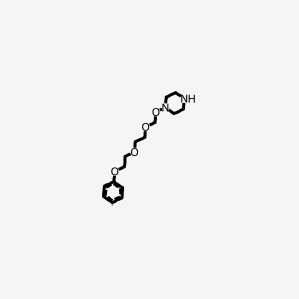 [c]1ccc(OCCOCCOCON2CCNCC2)cc1